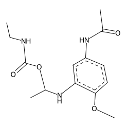 CCNC(=O)OC(C)Nc1cc(NC(C)=O)ccc1OC